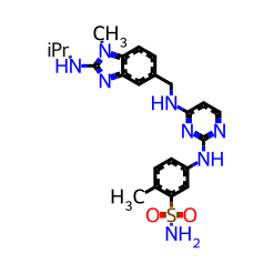 Cc1ccc(Nc2nccc(NCc3ccc4c(c3)nc(NC(C)C)n4C)n2)cc1S(N)(=O)=O